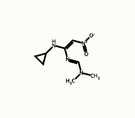 CN(C)/C=N/C(=C\[N+](=O)[O-])NC1CC1